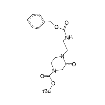 CC(C)(C)OC(=O)N1CCN(CCNC(=O)OCc2ccccc2)C(=O)C1